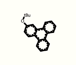 CC(C)(C)Oc1ccc2c3ccccc3c3ccccc3c2c1